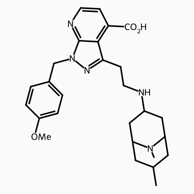 COc1ccc(Cn2nc(CCNC3CC4CC(C)CC(C3)N4C)c3c(C(=O)O)ccnc32)cc1